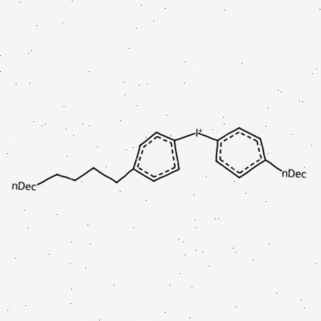 CCCCCCCCCCCCCCc1ccc([I+]c2ccc(CCCCCCCCCC)cc2)cc1